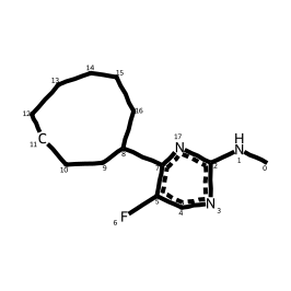 CNc1ncc(F)c(C2CCCCCCCC2)n1